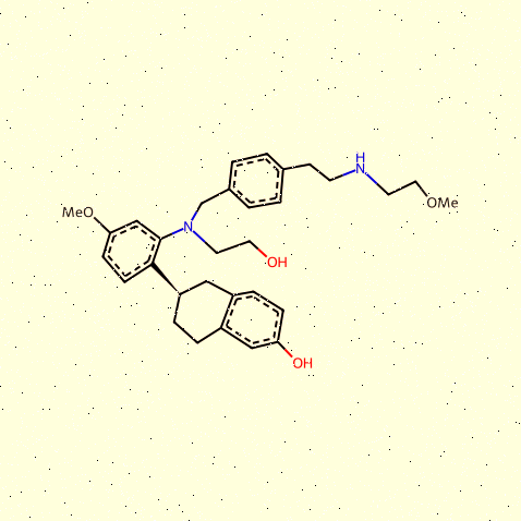 COCCNCCc1ccc(CN(CCO)c2cc(OC)ccc2[C@@H]2CCc3cc(O)ccc3C2)cc1